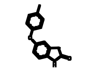 Cc1ccc(Oc2ccc3c(c2)[CH]C(=O)N3)cc1